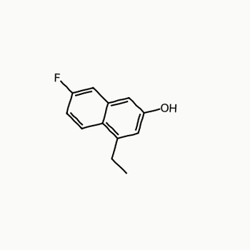 CCc1cc(O)cc2cc(F)ccc12